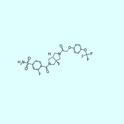 NS(=O)(=O)c1ccc(C(=O)N2C[C@H]3CN(C(=O)COc4ccc(OC(F)(F)F)cc4)C[C@]3(F)C2)c(F)c1